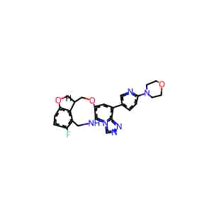 Fc1ccc2c3c1CNc1c(cc(-c4ccc(N5CCOCC5)nc4)c4nncn14)OC[C@@H]3CO2